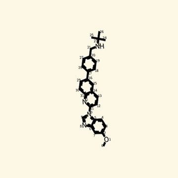 COc1ccc2c(c1)ncn2-c1ccc2cc(-c3ccc(CNC(C)(C)C)cc3)ccc2n1